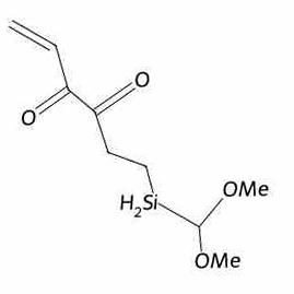 C=CC(=O)C(=O)CC[SiH2]C(OC)OC